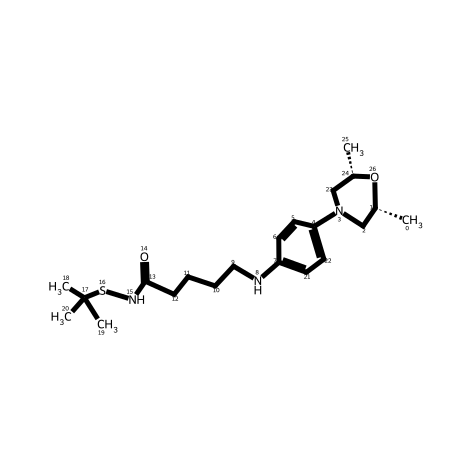 C[C@@H]1CN(c2ccc(NCCCCC(=O)NSC(C)(C)C)cc2)C[C@H](C)O1